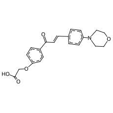 O=C(O)COc1ccc(C(=O)C=Cc2ccc(N3CCOCC3)cc2)cc1